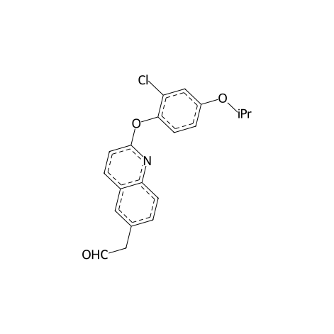 CC(C)Oc1ccc(Oc2ccc3cc(CC=O)ccc3n2)c(Cl)c1